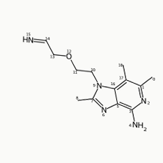 Cc1nc(N)c2nc(C)n(CCOCC=N)c2c1C